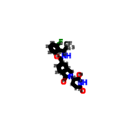 O=C1CCC(N2Cc3cc(C(=O)NC(CC(F)(F)F)c4ccccc4F)ccc3C2=O)C(=O)N1